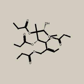 C/C=C(/COC(=O)CC)[C@H](OC(=O)CC)[C@H](OC(=O)CC)C(C)(OC(=O)CC)[C@H](O)OC